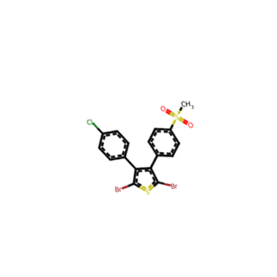 CS(=O)(=O)c1ccc(-c2c(Br)sc(Br)c2-c2ccc(Cl)cc2)cc1